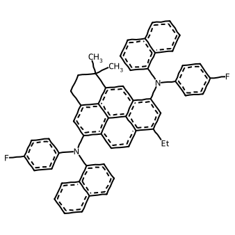 CCc1cc(N(c2ccc(F)cc2)c2cccc3ccccc23)c2cc3c4c(cc(N(c5ccc(F)cc5)c5cccc6ccccc56)c5ccc1c2c54)CCC3(C)C